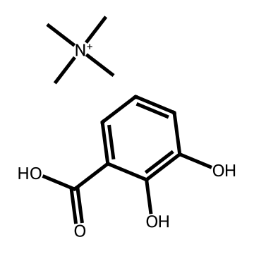 C[N+](C)(C)C.O=C(O)c1cccc(O)c1O